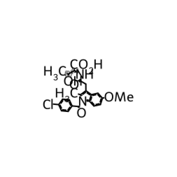 COc1ccc2c(c1)c(CC(=O)N[C@H](C(=O)O)[C@@H](C)O)c(C)n2C(=O)c1ccc(Cl)cc1